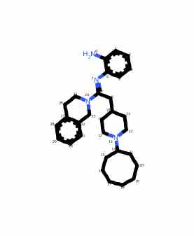 Nc1ccccc1/N=C(\CC1CCN(C2CCCCCCC2)CC1)N1CCc2ccccc2C1